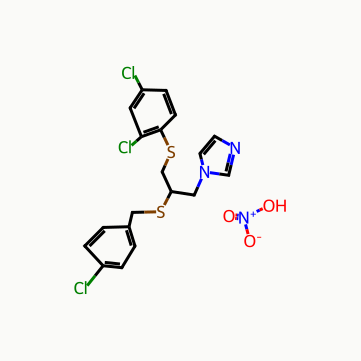 Clc1ccc(CSC(CSc2ccc(Cl)cc2Cl)Cn2ccnc2)cc1.O=[N+]([O-])O